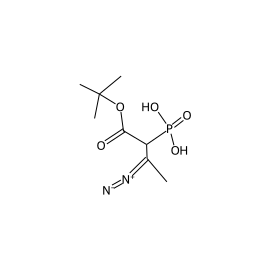 CC(=[N+]=[N-])C(C(=O)OC(C)(C)C)P(=O)(O)O